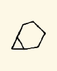 C1CC2C3C(C1)C23